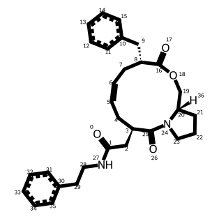 O=C(C[C@H]1C/C=C\C[C@H](Cc2ccccc2)C(=O)OC[C@@H]2CCCN2C1=O)NCCc1ccccc1